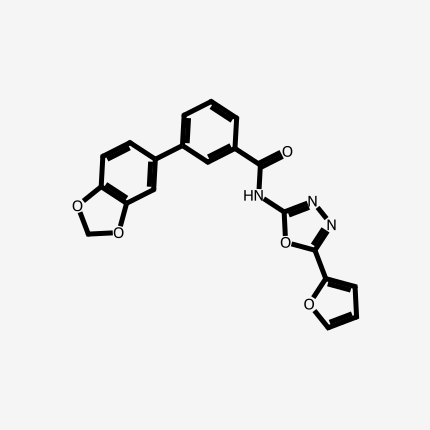 O=C(Nc1nnc(-c2ccco2)o1)c1cccc(-c2ccc3c(c2)OCO3)c1